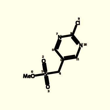 COS(=O)(=O)Cc1cnc(Cl)nc1